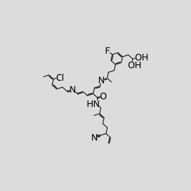 C=CC(C#N)CC/C=C(\C)CNC(=O)C(/C=C/N=C(\C)CCc1cc(F)cc(CC(O)O)c1)=C/C=C/N=C/C/C=C\C(Cl)=C/C